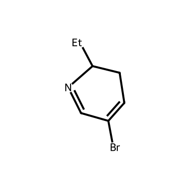 CCC1CC=C(Br)C=N1